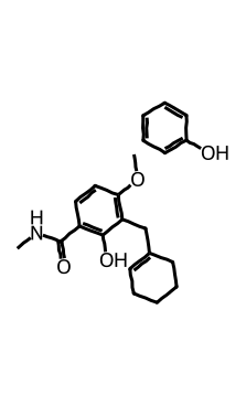 CNC(=O)c1ccc(OC)c(CC2=CCCCC2)c1O.Oc1ccccc1